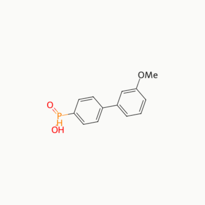 COc1cccc(-c2ccc([PH](=O)O)cc2)c1